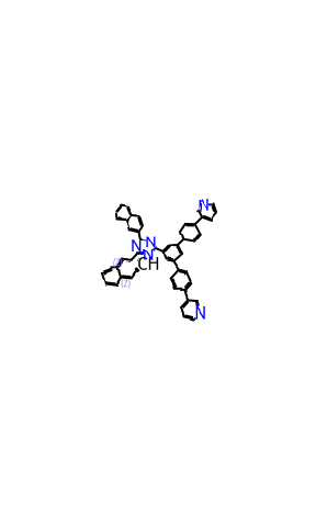 C#C/C=c1/cccc/c1=C/Cc1nc(-c2cc(-c3ccc(-c4cccnc4)cc3)cc(C3C=CC(c4cccnc4)=CC3)c2)nc(-c2ccc3ccccc3c2)n1